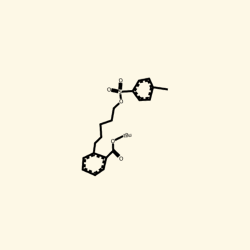 Cc1ccc(S(=O)(=O)OCCCCCc2ccccc2C(=O)OC(C)(C)C)cc1